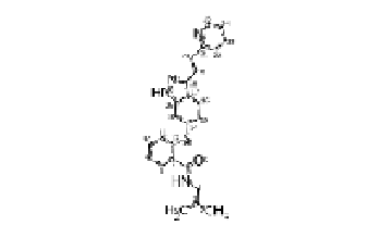 C=C(C)CNC(=O)c1ccccc1Sc1ccc2c(/C=C/c3ccccn3)n[nH]c2c1